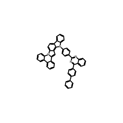 c1ccc(-c2ccc(-c3nc(-c4ccc(-n5c6ccccc6c6ccc7c(cc8c9ccccc9c9ccccc9n87)c65)cc4)nc4ccccc34)cc2)cc1